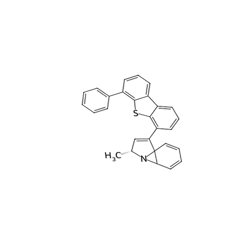 C[C@@H]1C=C(c2cccc3c2sc2c(-c4ccccc4)cccc23)C23C=CC=CC2N13